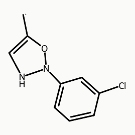 [CH2]C1=CNN(c2cccc(Cl)c2)O1